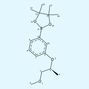 COC[C@H](C)Oc1cccc(B2OC(C)(C)C(C)(C)O2)c1